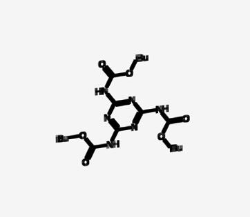 CCC(C)OC(=O)Nc1nc(NC(=O)OC(C)CC)nc(NC(=O)OC(C)CC)n1